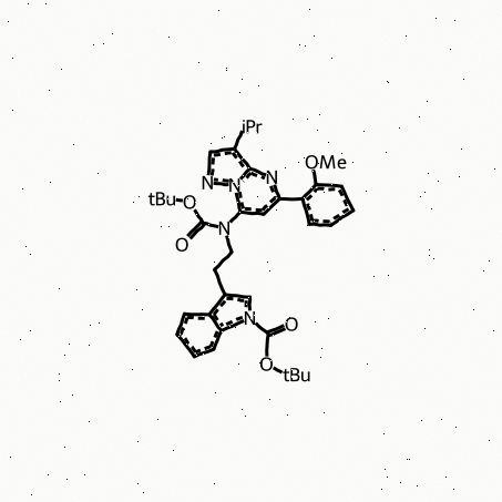 COc1ccccc1-c1cc(N(CCc2cn(C(=O)OC(C)(C)C)c3ccccc23)C(=O)OC(C)(C)C)n2ncc(C(C)C)c2n1